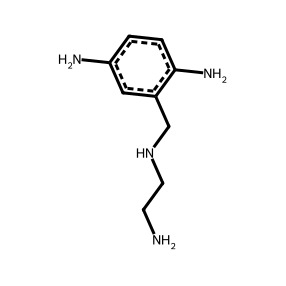 NCCNCc1cc(N)ccc1N